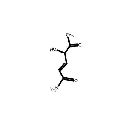 CC(=O)C(O)C=CC(N)=O